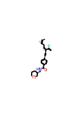 C=C(F)/C(C#Cc1ccc(C(=O)NC[C@@H]2CCCOC2)cc1)=C\C/C=C\C